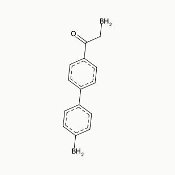 BCC(=O)c1ccc(-c2ccc(B)cc2)cc1